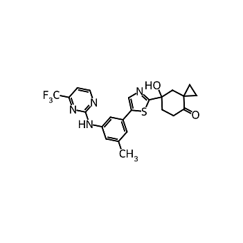 Cc1cc(Nc2nccc(C(F)(F)F)n2)cc(-c2cnc(C3(O)CCC(=O)C4(CC4)C3)s2)c1